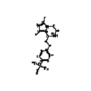 Cc1nc(C)n2c1C(CCc1ccc(C(F)(F)F)cc1)NCC2